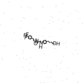 OCCCCc1ccc(NCc2coc(C=Cc3ccc(C(F)(F)F)cc3)n2)cc1